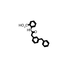 O=C(Cc1cccc(Cc2ccccc2)c1)Nc1ccccc1C(=O)O